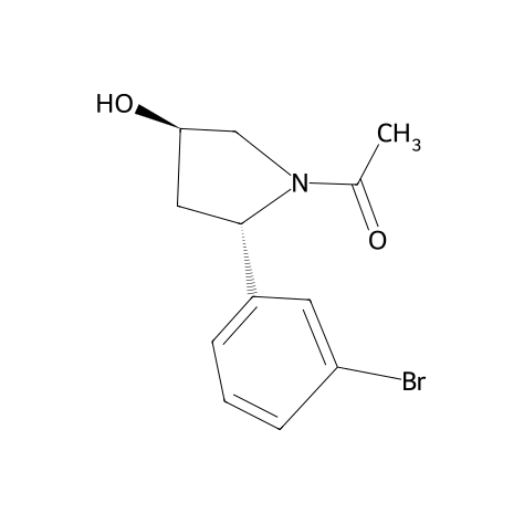 CC(=O)N1C[C@H](O)C[C@H]1c1cccc(Br)c1